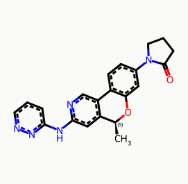 C[C@@H]1Oc2cc(N3CCCC3=O)ccc2-c2cnc(Nc3cccnn3)cc21